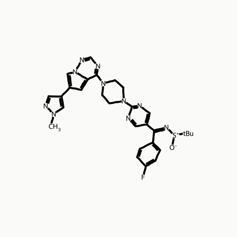 Cn1cc(-c2cc3c(N4CCN(c5ncc(C(=N[S+]([O-])C(C)(C)C)c6ccc(F)cc6)cn5)CC4)ncnn3c2)cn1